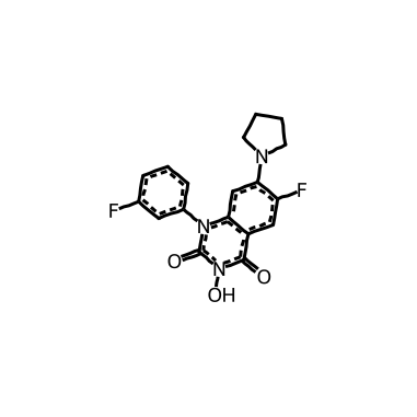 O=c1c2cc(F)c(N3CCCC3)cc2n(-c2cccc(F)c2)c(=O)n1O